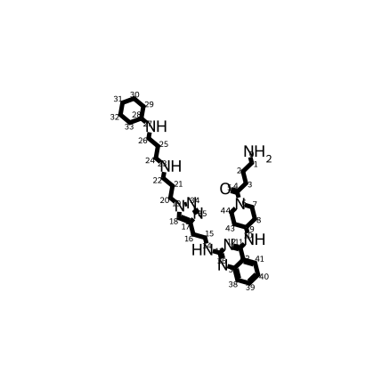 NCCCC(=O)N1CCC(Nc2nc(NCCc3cn(CCCNCCCNC4CCCCC4)nn3)nc3ccccc23)CC1